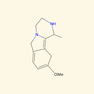 COC1=CC=C2CN3CCNC(C)C3=C2C1